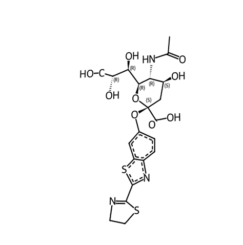 CC(=O)N[C@H]1[C@H]([C@H](O)[C@H](O)CO)O[C@@](Oc2ccc3nc(C4=NCCS4)sc3c2)(C(=O)O)C[C@@H]1O